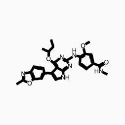 CCC(C)Oc1nc(Nc2ccc(C(=O)NC)cc2OC)nc2[nH]cc(-c3ccc4nc(C)oc4c3)c12